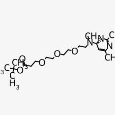 Cc1cc(N(C)CCOCCOCCOCCC(=O)OC(C)(C)C)nc(Cl)n1